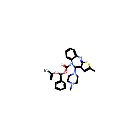 C=C(CC)OC(OC(=O)N1C(N2CCN(C)CC2)=c2cc(C)sc2=Nc2ccccc21)c1ccccc1